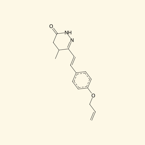 C=CCOc1ccc(C=CC2=NNC(=O)CC2C)cc1